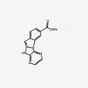 COC(=O)c1ccc2c[n+]3[nH]c4nccnc4n3c2c1